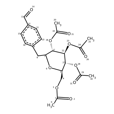 CC(=O)OC[C@H]1OC(Cc2ccc(C=O)cc2)[C@H](OC(C)=O)[C@@H](OC(C)=O)[C@@H]1OC(C)=O